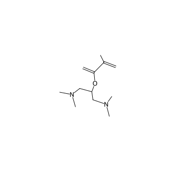 C=C(C)C(=C)OC(CN(C)C)CN(C)C